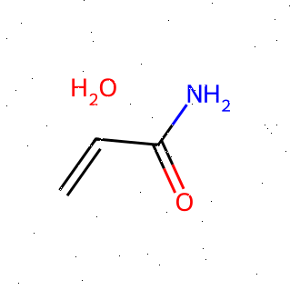 C=CC(N)=O.O